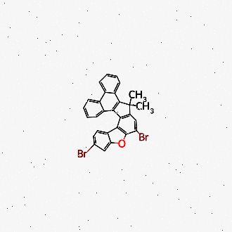 CC1(C)c2cc(Br)c3oc4cc(Br)ccc4c3c2-c2c1c1ccccc1c1ccccc21